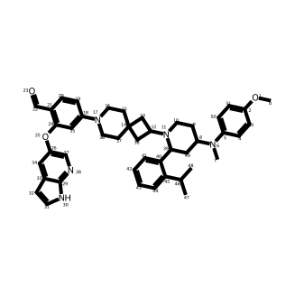 COc1ccc(N(C)C2CCN(C3CC4(CCN(c5ccc(C=O)c(Oc6cnc7[nH]ccc7c6)c5)CC4)C3)C(c3ccccc3C(C)C)C2)cc1